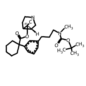 CN(CCCc1cccc(C2(C(=O)O[C@H]3CN4CCC3CC4)CCCCC2)c1)C(=O)OC(C)(C)C